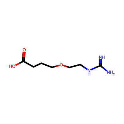 N=C(N)NCCOCCCC(=O)O